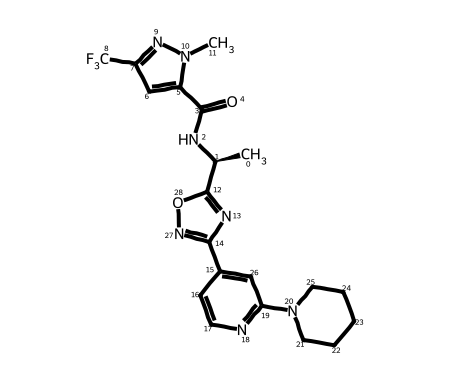 C[C@H](NC(=O)c1cc(C(F)(F)F)nn1C)c1nc(-c2ccnc(N3CCCCC3)c2)no1